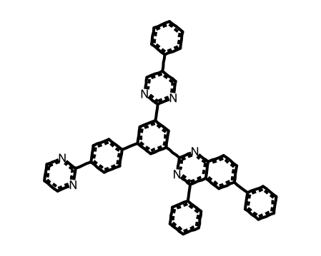 c1ccc(-c2cnc(-c3cc(-c4ccc(-c5ncccn5)cc4)cc(-c4nc(-c5ccccc5)c5cc(-c6ccccc6)ccc5n4)c3)nc2)cc1